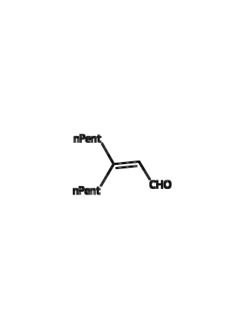 CCCCCC(=CC=O)CCCCC